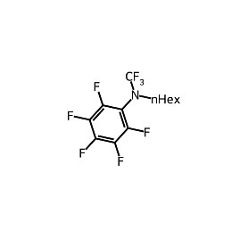 CCCCCCN(c1c(F)c(F)c(F)c(F)c1F)C(F)(F)F